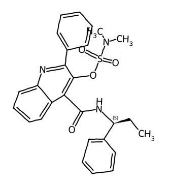 CC[C@H](NC(=O)c1c(OS(=O)(=O)N(C)C)c(-c2ccccc2)nc2ccccc12)c1ccccc1